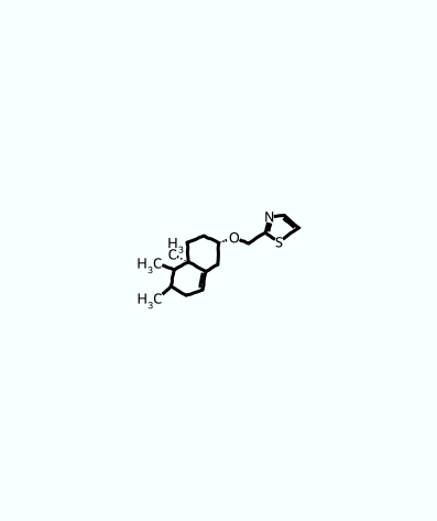 CC1CC=C2C[C@@H](OCc3nccs3)CC[C@]2(C)C1C